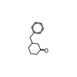 O=C1CCCC(Cc2ccccc2)C1